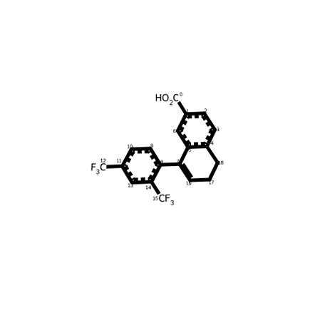 O=C(O)c1ccc2c(c1)C(c1ccc(C(F)(F)F)cc1C(F)(F)F)=CCC2